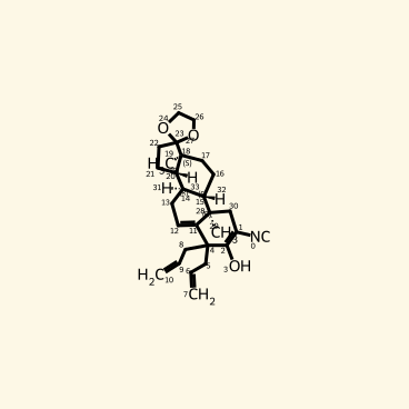 [C-]#[N+]C1=C(O)C(CC=C)(CC=C)C2=CC[C@@H]3[C@H](CC[C@@]4(C)[C@H]3CCC43OCCO3)[C@@]2(C)C1